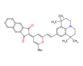 CC(C)(C)C1=CC(=C2C(=O)c3cc4ccccc4cc3C2=O)C=C(/C=C/c2cc3c4c(c2)C(C)(C)CCN4CCC3(C)C)O1